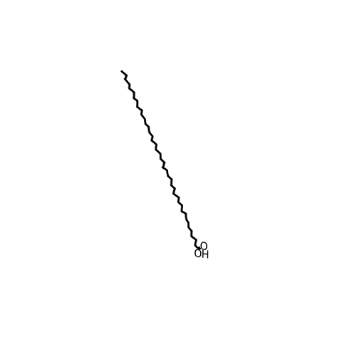 CCCCCCCCCCCCCCCCCCCCCCCCCCCCCCCCCCCCCCCCCC(=O)O